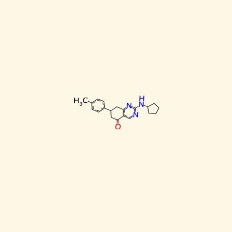 Cc1ccc(C2CC(=O)c3cnc(NC4CCCC4)nc3C2)cc1